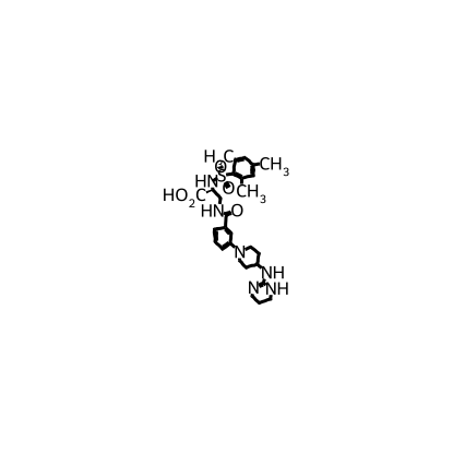 Cc1cc(C)c(S(=O)(=O)N[C@@H](CNC(=O)c2cccc(N3CCC(NC4=NCCCN4)CC3)c2)C(=O)O)c(C)c1